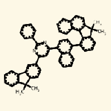 CC1(C)c2ccccc2-c2cc(-c3cc(-c4ccc(-c5cccc6c5-c5c(ccc7ccccc57)C6(C)C)c5ccccc45)nc(-c4ccccc4)n3)ccc21